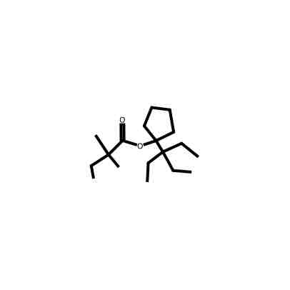 CCC(C)(C)C(=O)OC1(C(CC)(CC)CC)CCCC1